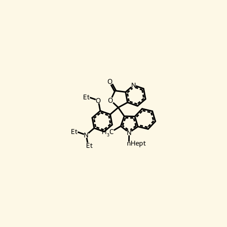 CCCCCCCn1c(C)c(C2(c3ccc(N(CC)CC)cc3OCC)OC(=O)c3ncccc32)c2ccccc21